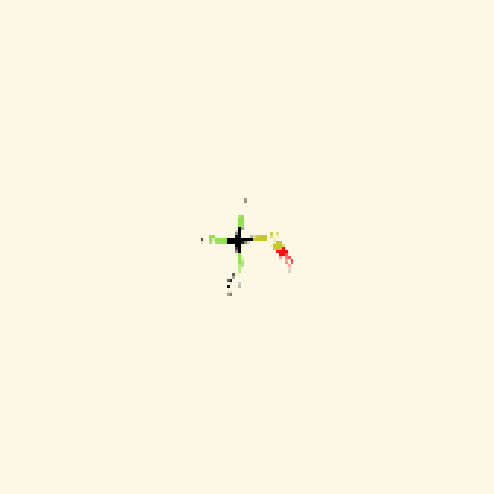 O=[S+]C(F)(F)F.[Zn]